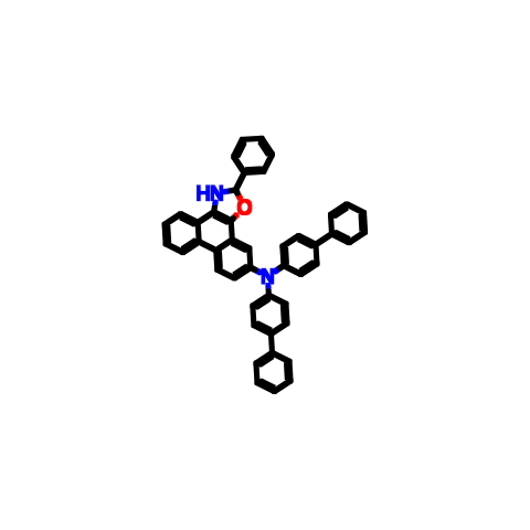 c1ccc(-c2ccc(N(c3ccc(-c4ccccc4)cc3)c3ccc4c(c3)c3c(c5ccccc54)NC(c4ccccc4)O3)cc2)cc1